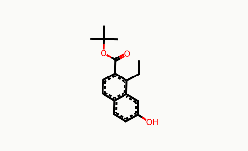 CCc1c(C(=O)OC(C)(C)C)ccc2ccc(O)cc12